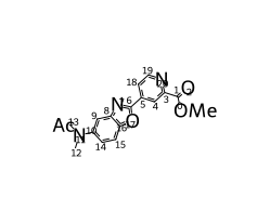 COC(=O)c1cc(-c2nc3cc(N(C)C(C)=O)ccc3o2)ccn1